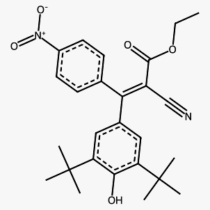 CCOC(=O)C(C#N)=C(c1ccc([N+](=O)[O-])cc1)c1cc(C(C)(C)C)c(O)c(C(C)(C)C)c1